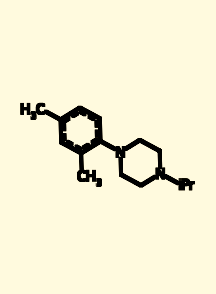 Cc1ccc(N2CCN(C(C)C)CC2)c(C)c1